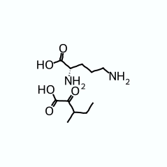 CCC(C)C(=O)C(=O)O.NCCC[C@H](N)C(=O)O